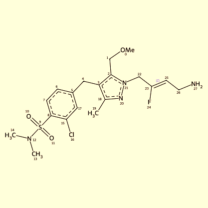 COCc1c(Cc2ccc(S(=O)(=O)N(C)C)c(Cl)c2)c(C)nn1C/C(F)=C/CN